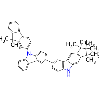 CC1(C)c2ccccc2-c2ccc(-n3c4ccccc4c4cc(-c5ccc6[nH]c7cc8c(cc7c6c5)C(C)(C)C(C)(C)C8(C)C)ccc43)cc21